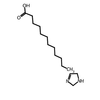 C1=NCNC1.CCCCCCCCCCCC(=O)O